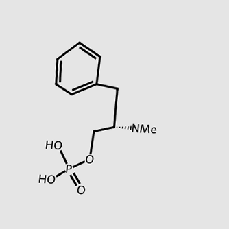 CN[C@H](COP(=O)(O)O)Cc1ccccc1